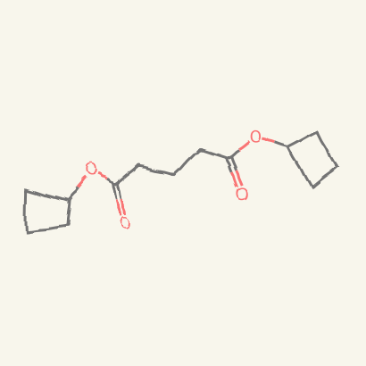 O=C(CCCC(=O)OC1CCC1)OC1CCC1